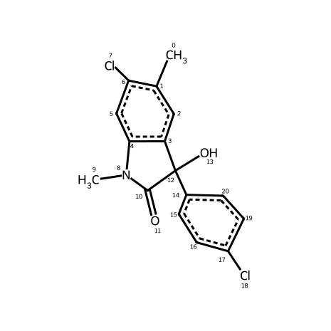 Cc1cc2c(cc1Cl)N(C)C(=O)C2(O)c1ccc(Cl)cc1